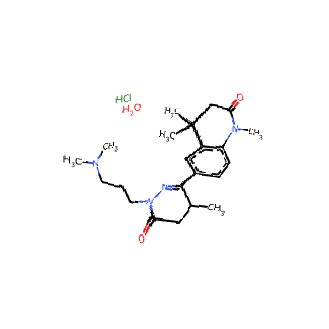 CC1CC(=O)N(CCCN(C)C)N=C1c1ccc2c(c1)C(C)(C)CC(=O)N2C.Cl.O